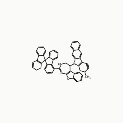 CC1C#Cc2c(n(C3CNC(c4cccc5c4-c4ccccc4C54C5=C(C=CCC5)c5ccccc54)=Nc4oc5ccccc5c43)c3cc4ccccc4cc23)C1